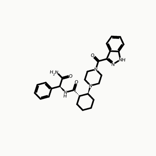 NC(=O)[C@@H](NC(=O)[C@H]1CCCC[C@@H]1N1CCN(C(=O)c2n[nH]c3ccccc23)CC1)c1ccccc1